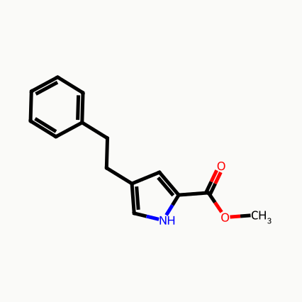 COC(=O)c1cc(CCc2ccccc2)c[nH]1